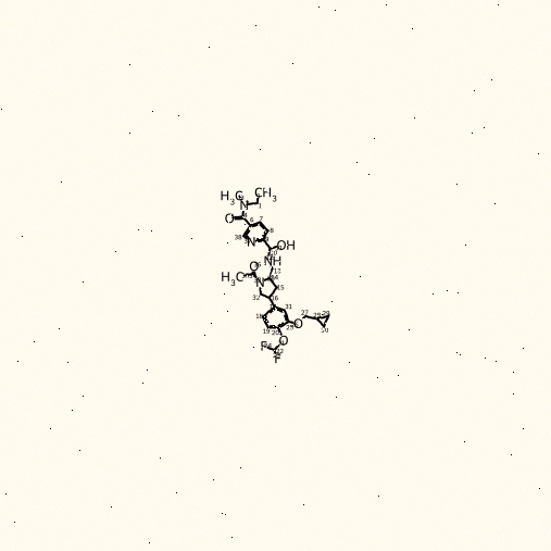 CCN(C)C(=O)c1ccc(C(O)NC[C@H]2CC(c3ccc(OC(F)F)c(OCC4CC4)c3)CN2C(C)=O)nc1